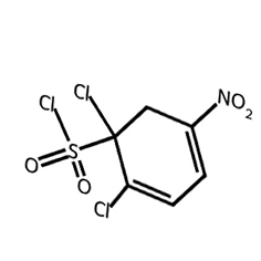 O=[N+]([O-])C1=CC=C(Cl)C(Cl)(S(=O)(=O)Cl)C1